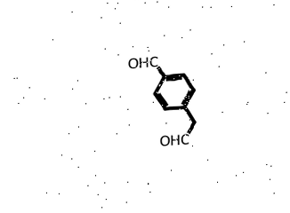 O=CCc1ccc(C=O)cc1